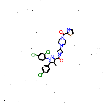 Cc1c(C(=O)N2CC(N3CCN(C(=O)c4nccs4)CC3)C2)nn(-c2ccc(Cl)cc2Cl)c1-c1ccc(Cl)cc1